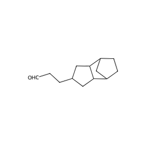 O=CCCC1CC2C3CCC(C3)C2C1